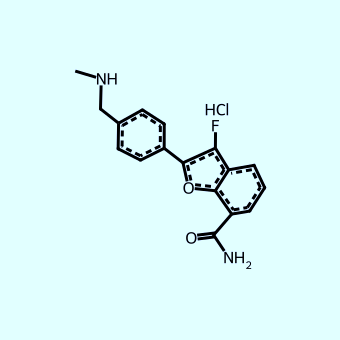 CNCc1ccc(-c2oc3c(C(N)=O)cccc3c2F)cc1.Cl